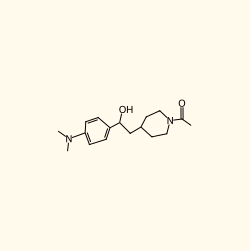 CC(=O)N1CCC(CC(O)c2ccc(N(C)C)cc2)CC1